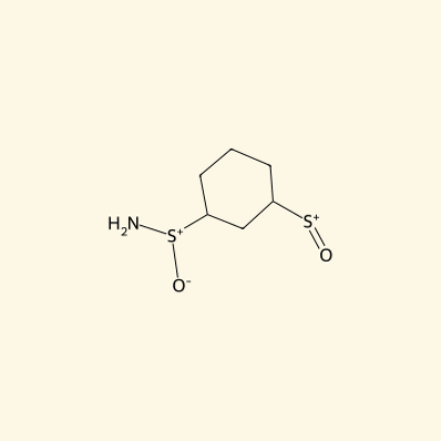 N[S+]([O-])C1CCCC([S+]=O)C1